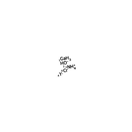 [Cr].[GaH3].[NH4+].[OH-].[Y]